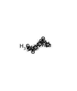 CCCCC1N(CC2CCCCC2)C(=O)OC12CCN(C1CCN(C(=O)c3csc(C)n3)CC1)CC2